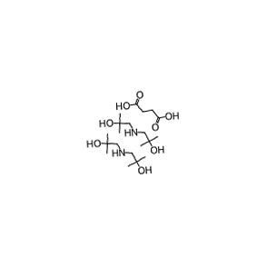 CC(C)(O)CNCC(C)(C)O.CC(C)(O)CNCC(C)(C)O.O=C(O)CCC(=O)O